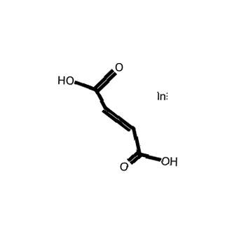 O=C(O)C=CC(=O)O.[In]